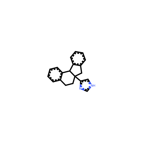 c1ccc2c(c1)CCC1(c3c[nH]cn3)Cc3ccccc3C21